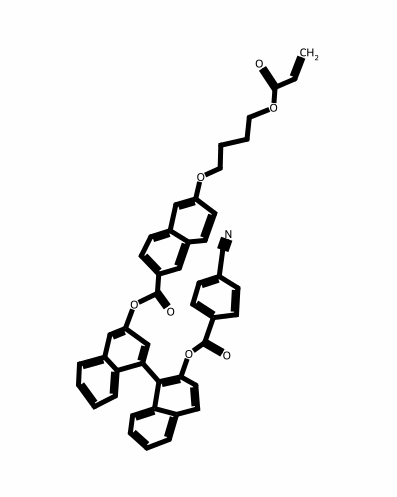 C=CC(=O)OCCCCOc1ccc2cc(C(=O)Oc3cc(-c4c(OC(=O)c5ccc(C#N)cc5)ccc5ccccc45)c4ccccc4c3)ccc2c1